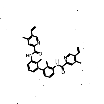 C=Cc1cnc(C(=O)Nc2cccc(-c3cccc(NC(=O)c4cc(C)c(C=C)cn4)c3C)c2C)cc1C